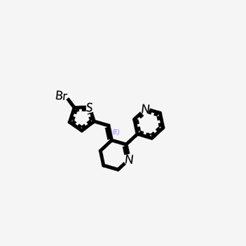 Brc1ccc(/C=C2\CCCN=C2c2cccnc2)s1